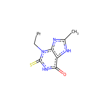 Cc1nc2c([nH]1)c(=O)[nH]c(=S)n2CC(C)C